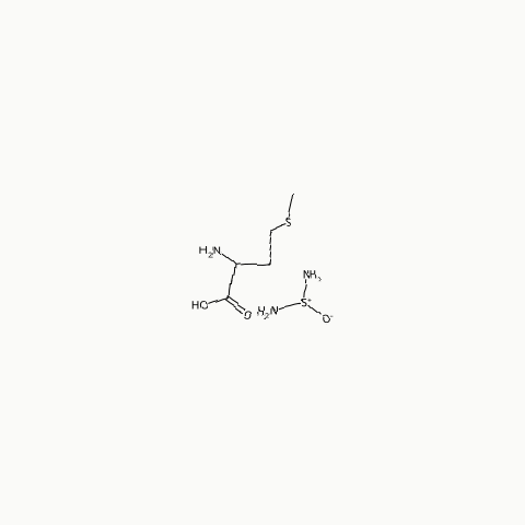 CSCCC(N)C(=O)O.N[S+](N)[O-]